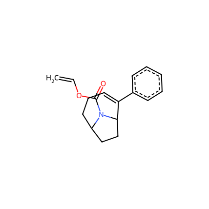 C=COC(=O)N1C2CCC=C(c3ccccc3)C1CC2